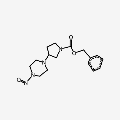 O=NN1CCN(C2CCN(C(=O)OCc3ccccc3)C2)CC1